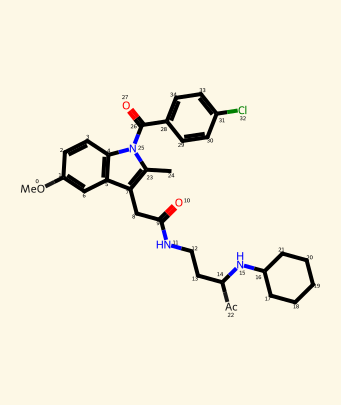 COc1ccc2c(c1)c(CC(=O)NCCC(NC1CCCCC1)C(C)=O)c(C)n2C(=O)c1ccc(Cl)cc1